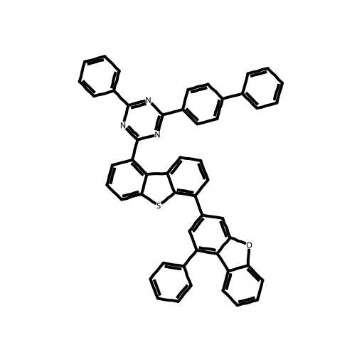 c1ccc(-c2ccc(-c3nc(-c4ccccc4)nc(-c4cccc5sc6c(-c7cc(-c8ccccc8)c8c(c7)oc7ccccc78)cccc6c45)n3)cc2)cc1